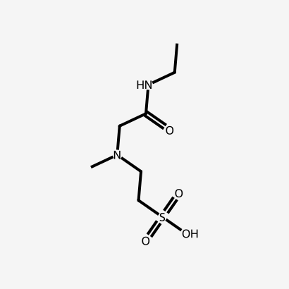 CCNC(=O)CN(C)CCS(=O)(=O)O